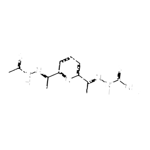 CC(=S)N/N=C(\C)c1cccc(/C(C)=N/NC(N)=S)n1